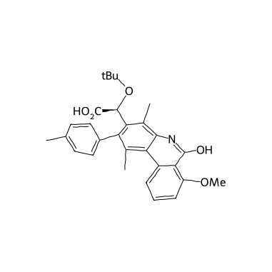 COc1cccc2c1c(O)nc1c(C)c([C@H](OC(C)(C)C)C(=O)O)c(-c3ccc(C)cc3)c(C)c12